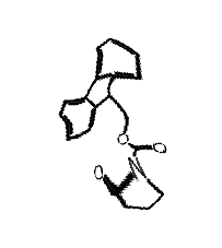 O=C1CCCN1C(=O)OCC1c2ccccc2-c2ccccc21